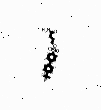 NC(=O)CCCOS(=O)(=O)c1ccc(-c2ccc(C(F)(F)F)cc2)cc1